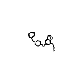 N#CCc1cc(OC2CCN(Cc3ccccc3)CC2)cc2ccoc12